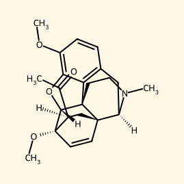 COc1ccc2c3c1O[C@H]1[C@]4(OC)C=C[C@@]5(C[C@@H]4C(C)=O)[C@@H](C2)N(C)CC[C@]315